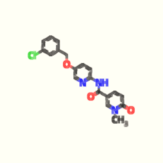 Cn1cc(C(=O)Nc2ccc(OCc3cccc(Cl)c3)cn2)ccc1=O